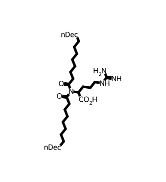 CCCCCCCCCCCCCCCCCC(=O)N(C(=O)CCCCCCCCCCCCCCCCC)C(CCCNC(=N)N)C(=O)O